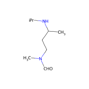 CC(C)NC(C)CCN(C)C=O